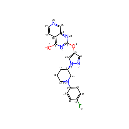 Oc1nc(Oc2cnn([C@@H]3CCCN(c4ccc(F)cc4)C3)c2)nc2cnccc12